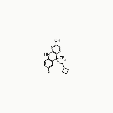 Oc1ccc2c(n1)Nc1ccc(F)cc1C2(OCC1CCC1)C(F)(F)F